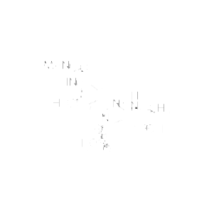 CNC(=O)Nc1ccc(-c2nc(CS(C)(=O)=O)cc(N[C@@H](C)CO)n2)cc1C